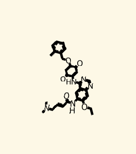 CCOc1cc2ncnc(NC3=CC(=O)C(OCc4ccccc4C)=CC3=O)c2cc1NC(=O)C=CCN(C)C